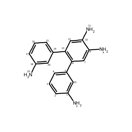 Nc1cccc(-c2cc(N)c(N)cc2-c2cccc(N)c2)c1